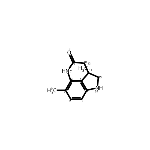 Cc1ccc2c3c1NC(=O)CC3(C)CN2